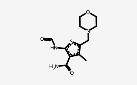 Cc1c(CN2CCOCC2)sc(NC=O)c1C(N)=O